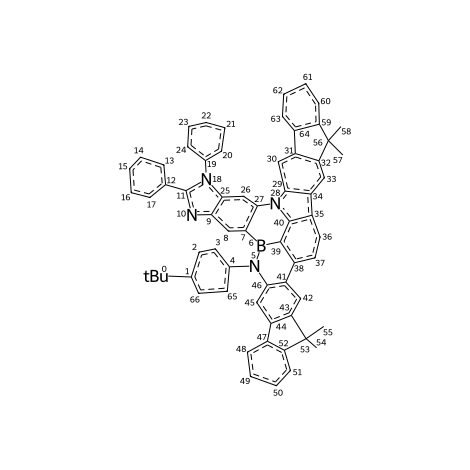 CC(C)(C)c1ccc(N2B3c4cc5nc(-c6ccccc6)n(-c6ccccc6)c5cc4-n4c5cc6c(cc5c5ccc(c3c54)-c3cc4c(cc32)-c2ccccc2C4(C)C)C(C)(C)c2ccccc2-6)cc1